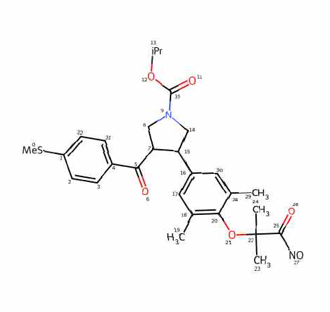 CSc1ccc(C(=O)C2CN(C(=O)OC(C)C)CC2c2cc(C)c(OC(C)(C)C(=O)N=O)c(C)c2)cc1